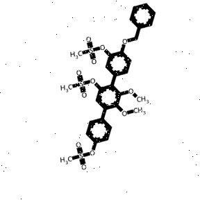 COc1c(-c2ccc(OS(C)(=O)=O)cc2)cc(OS(C)(=O)=O)c(-c2ccc(OCc3ccccc3)c(OS(C)(=O)=O)c2)c1OC